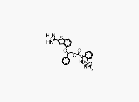 N=C(N)C1Cc2c(OC(COC(=O)Nc3ccccc3S(N)(=O)=O)c3ccccc3)cccc2S1